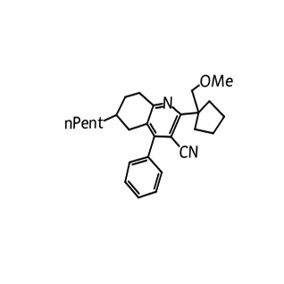 CCCCCC1CCc2nc(C3(COC)CCCC3)c(C#N)c(-c3ccccc3)c2C1